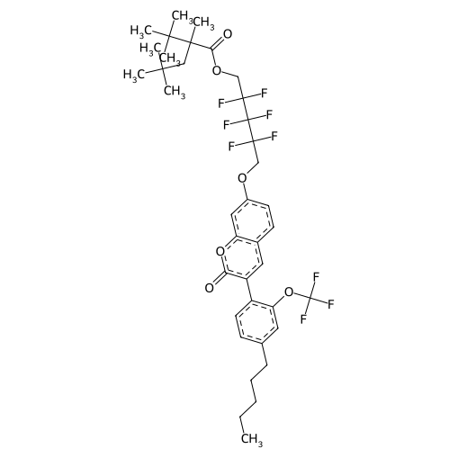 CCCCCc1ccc(-c2cc3ccc(OCC(F)(F)C(F)(F)C(F)(F)COC(=O)C(C)(CC(C)(C)C)C(C)(C)C)cc3oc2=O)c(OC(F)(F)F)c1